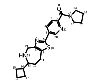 O=C(c1ccc(-c2nc3c(s2)CCC(C2CCC2)NC3)cn1)N1CCCC1